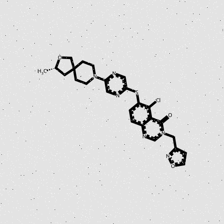 C[C@H]1CC2(CCN(c3cnc(Sc4ccc5ncn(Cc6ccon6)c(=O)c5c4Cl)cn3)CC2)CO1